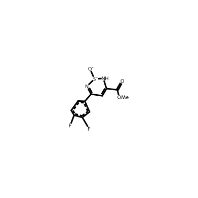 COC(=O)C1=CC(c2ccc(F)c(F)c2)=N[S+]([O-])N1